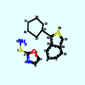 NSc1ncco1.c1ccc2c(C3CCCCC3)scc2c1